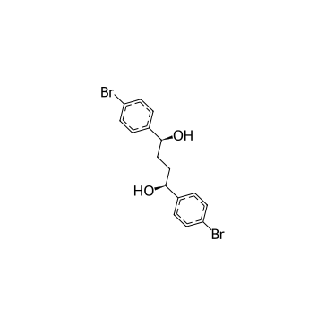 O[C@@H](CC[C@H](O)c1ccc(Br)cc1)c1ccc(Br)cc1